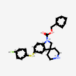 O=C(OCc1ccccc1)N1CC2(CCNCC2)c2cc(Sc3ccc(F)cc3)ccc21